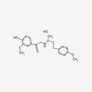 COc1ccc(CCC(C)NCC(=O)c2ccc(O)c(SC)c2)cc1.Cl